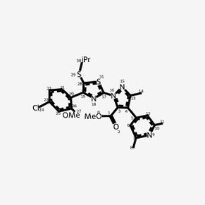 COC(=O)c1c(-c2cc(C)nc(C)c2)c(C)nn1-c1nc(-c2ccc(Cl)cc2OC)c(SC(C)C)s1